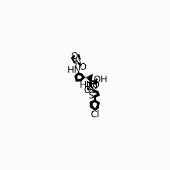 O=C(Nc1cccc([C@@H]2CC2(NS(=O)(=O)c2ccc(-c3ccc(Cl)cc3)s2)C(=O)O)c1)N1CCOCC1